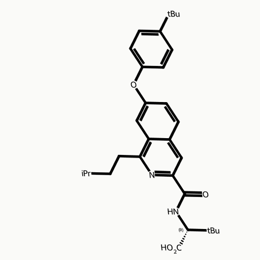 CC(C)CCc1nc(C(=O)N[C@@H](C(=O)O)C(C)(C)C)cc2ccc(Oc3ccc(C(C)(C)C)cc3)cc12